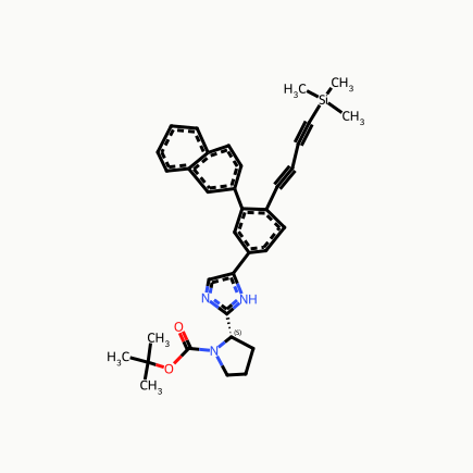 CC(C)(C)OC(=O)N1CCC[C@H]1c1ncc(-c2ccc(C#CC#C[Si](C)(C)C)c(-c3ccc4ccccc4c3)c2)[nH]1